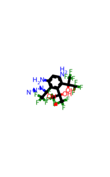 [N-]=[N+]=NC(O)(c1c(N)cc(N)c(C(O)(C(F)(F)F)C(F)(F)F)c1C(O)(C(F)(F)F)C(F)(F)F)C(F)(F)F